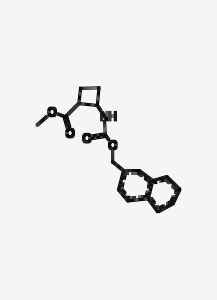 COC(=O)C1CCC1NC(=O)OCc1ccc2ccccc2c1